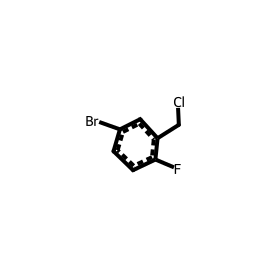 Fc1ccc(Br)cc1CCl